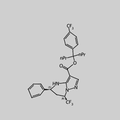 CCCC(CCC)(OC(=O)c1cnn2c1N[C@H](c1ccccc1)C[C@@H]2C(F)(F)F)c1ccc(C(F)(F)F)cc1